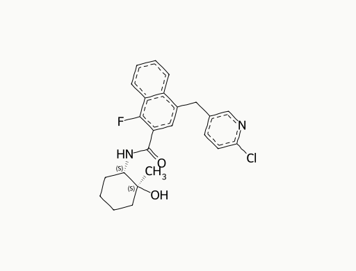 C[C@]1(O)CCCC[C@@H]1NC(=O)c1cc(Cc2ccc(Cl)nc2)c2ccccc2c1F